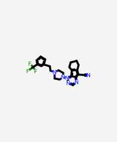 N#Cc1c2ncnn(N3CCN(CCc4cccc(C(F)(F)F)c4)CC3)c-2c2c1CCCC2